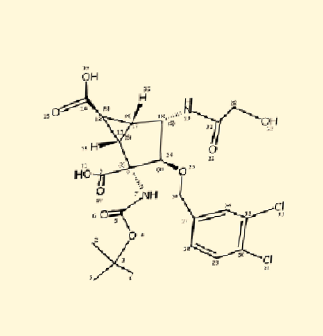 CC(C)(C)OC(=O)N[C@]1(C(=O)O)[C@@H]2[C@@H](C(=O)O)[C@@H]2[C@H](NC(=O)CO)[C@H]1OCc1ccc(Cl)c(Cl)c1